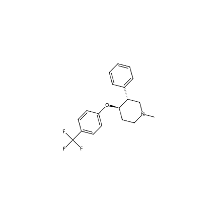 CN1CC[C@@H](Oc2ccc(C(F)(F)F)cc2)[C@H](c2ccccc2)C1